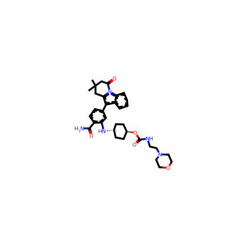 CC1(C)CC(=O)n2c(c(-c3ccc(C(N)=O)c(N[C@H]4CC[C@H](OC(=O)NCCN5CCOCC5)CC4)c3)c3ccccc32)C1